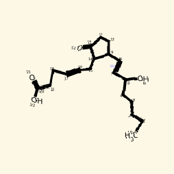 CCCCCC(O)/C=C/C1CCC(=O)C1CC#CCCC(=O)O